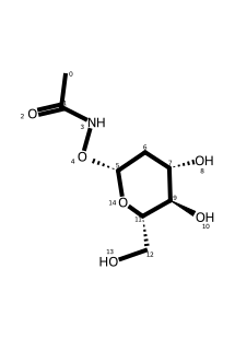 CC(=O)NO[C@@H]1C[C@H](O)[C@@H](O)[C@H](CO)O1